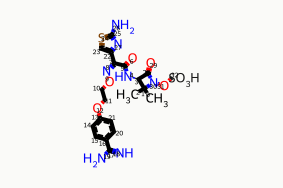 CC1(C)[C@H](NC(=O)/C(=N\OCCOc2ccc(C(=N)N)cc2)c2csc(N)n2)C(=O)N1OS(=O)(=O)O